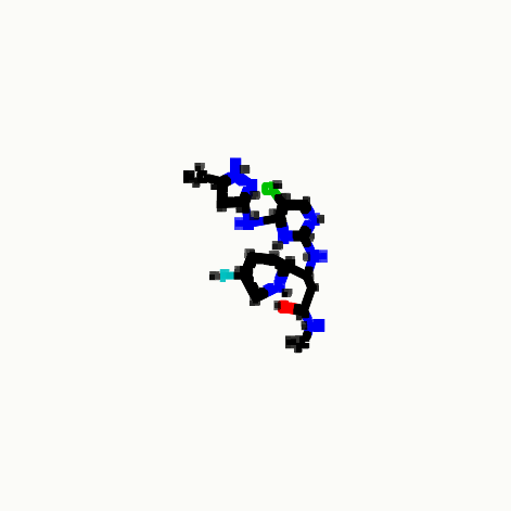 CNC(=O)CC(Nc1ncc(Cl)c(Nc2cc(C)[nH]n2)n1)c1ccc(F)cn1